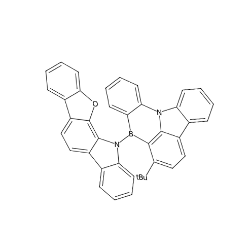 CC(C)(C)c1ccc2c3ccccc3n3c2c1B(n1c2ccccc2c2ccc4c5ccccc5oc4c21)c1ccccc1-3